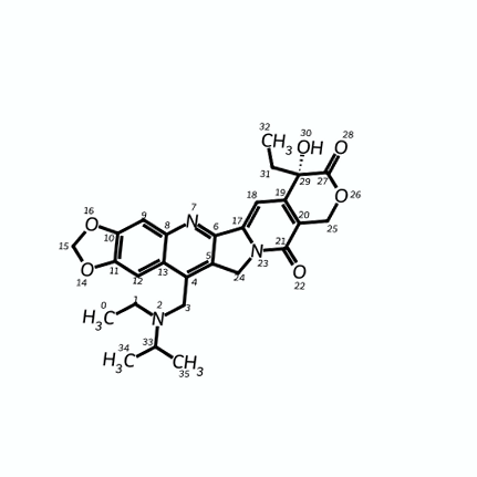 CCN(Cc1c2c(nc3cc4c(cc13)OCO4)-c1cc3c(c(=O)n1C2)COC(=O)[C@]3(O)CC)C(C)C